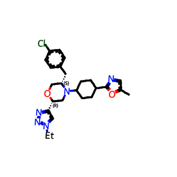 CCn1cc([C@H]2CN(C3CCC(c4ncc(C)o4)CC3)[C@@H](Cc3ccc(Cl)cc3)CO2)nn1